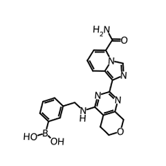 NC(=O)c1cccc2c(-c3nc4c(c(NCc5cccc(B(O)O)c5)n3)CCOC4)ncn12